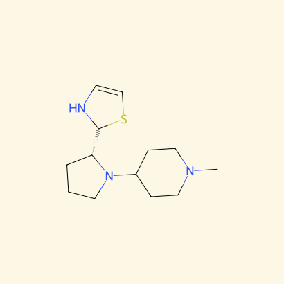 CN1CCC(N2CCC[C@@H]2C2NC=CS2)CC1